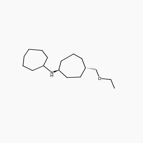 CCOC[C@H]1CCC[C@H](NC2CCCCCC2)CC1